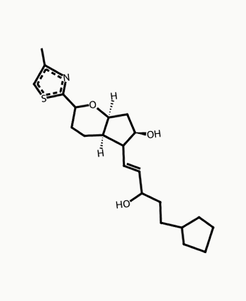 Cc1csc(C2CC[C@@H]3C(/C=C/C(O)CCC4CCCC4)[C@H](O)C[C@@H]3O2)n1